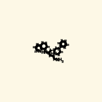 NCCCC(C[C@@H]1CN(c2ccccc2)CCN1)N[C@H]1CCCc2cccnc21